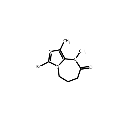 Cc1nc(Br)n2c1N(C)C(=O)CCC2